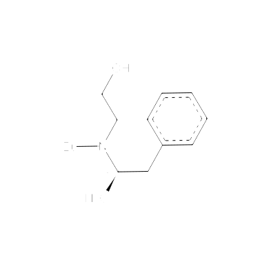 CCN(CCO)[C@H](C)Cc1ccccc1